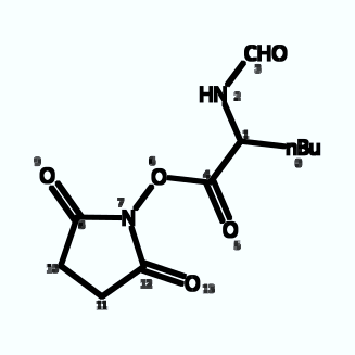 CCCCC(NC=O)C(=O)ON1C(=O)CCC1=O